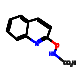 O=C(O)NOc1ccc2ccccc2n1